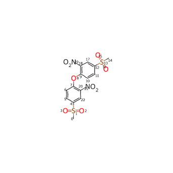 CS(=O)(=O)c1ccc(Oc2ccc(S(C)(=O)=O)cc2[N+](=O)[O-])c([N+](=O)[O-])c1